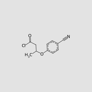 CC(CC(=O)Cl)Oc1ccc(C#N)cc1